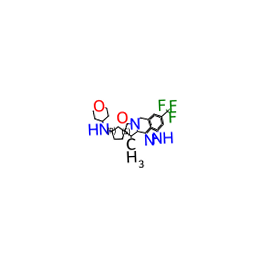 CC1C2c3n[nH]c4cc(C(F)(F)F)cc(c34)CN2C(=O)[C@]12CC[C@@H](NC1CCOCC1)C2